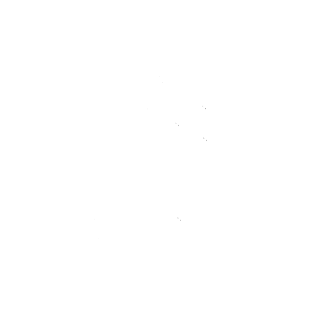 CCS(=O)(=O)c1ccc(CNC(=O)c2ccc3c(c2)CN(c2ncc(C(=O)O)c(C(F)(F)F)n2)CC3C(C)C)cc1